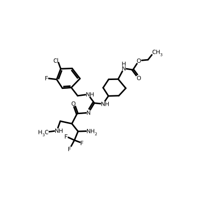 CCOC(=O)NC1CCC(N/C(=N/C(=O)C(CNC)C(N)C(F)(F)F)NCc2ccc(Cl)c(F)c2)CC1